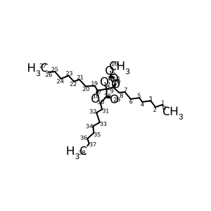 CCCCCCCCCC(=O)C(OC(=O)OC)(C(=O)CCCCCCCCC)C(=O)CCCCCCCCC